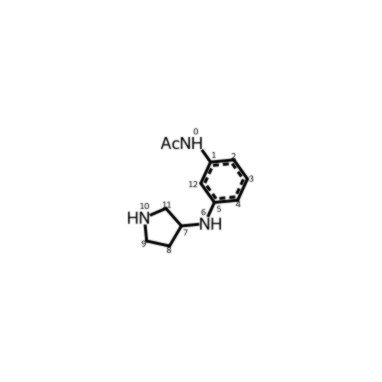 CC(=O)Nc1cccc(NC2CCNC2)c1